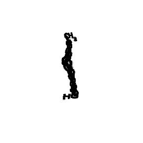 CCCCc1cccc2c(OCCOCCOCCOCCOCCOCCOCCOCCOCCOCCOCCOCCOCCO)cccc12